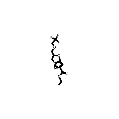 CCOC(=O)c1cc2n(n1)CC(COCC(F)(F)F)O2